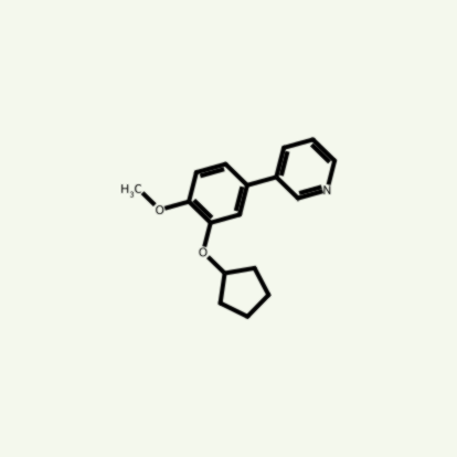 COc1ccc(-c2[c]nccc2)cc1OC1CCCC1